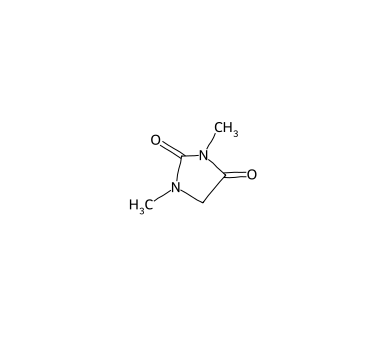 CN1CC(=O)N(C)C1=O